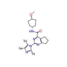 [2H]c1nc([2H])n(-c2nc3c(c(C(=O)N[C@H]4CC[C@H](OC)CC4)n2)CCC3)c1[2H]